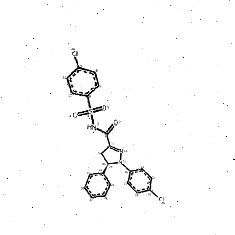 O=C(NS(=O)(=O)c1ccc(Cl)cc1)C1=NN(c2ccc(Cl)cc2)[C@@H](c2ccccc2)C1